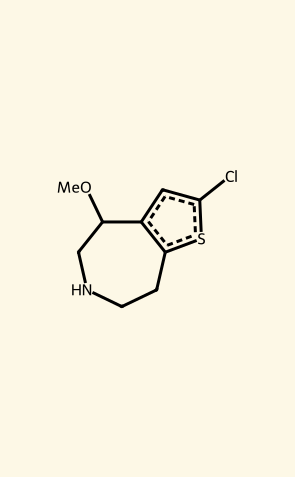 COC1CNCCc2sc(Cl)cc21